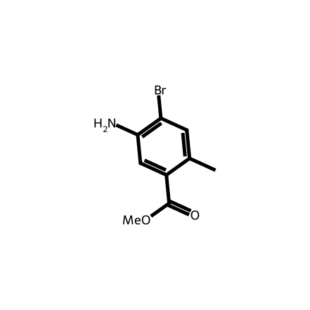 COC(=O)c1cc(N)c(Br)cc1C